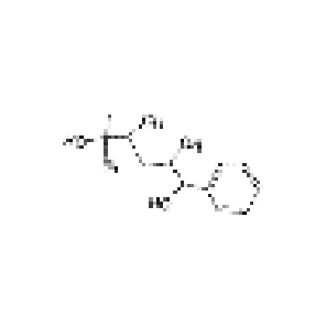 CC(C)C(C)(O)C(O)CC(O)C(O)c1ccccc1